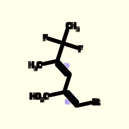 CC/C=C(\C=C(/C)C(C)(F)F)C(=O)O